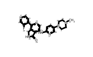 CN1CCN(c2ccc(Nc3cnc(-c4ccncc4F)c4c3C(=O)NC4)nc2)CC1